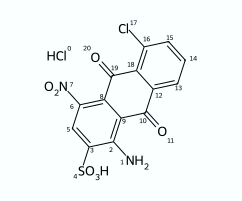 Cl.Nc1c(S(=O)(=O)O)cc([N+](=O)[O-])c2c1C(=O)c1cccc(Cl)c1C2=O